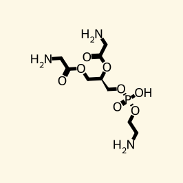 NCCOP(=O)(O)OC[C@@H](COC(=O)CN)OC(=O)CN